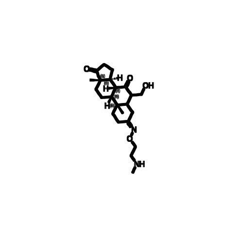 CNCCON=C1CC[C@@]2(C)C(C1)C(CO)C(=O)[C@@H]1[C@H]2CC[C@]2(C)C(=O)CC[C@@H]12